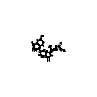 CNc1cc(F)ccc1C(=N)c1cnc2[nH]cc(C(=O)NC[C@H](C)OC)c2n1